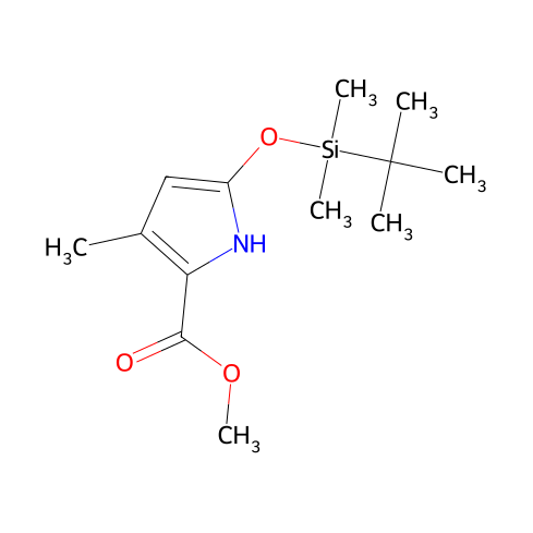 COC(=O)c1[nH]c(O[Si](C)(C)C(C)(C)C)cc1C